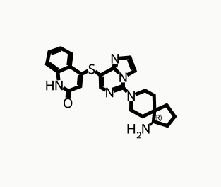 N[C@@H]1CCCC12CCN(c1ncc(Sc3cc(=O)[nH]c4ccccc34)c3nccn13)CC2